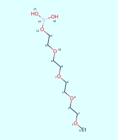 CCOCCOCCOCCOCCOB(O)O